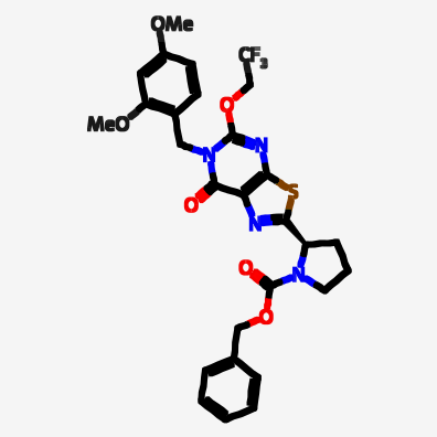 COc1ccc(Cn2c(OCC(F)(F)F)nc3sc([C@H]4CCCN4C(=O)OCc4ccccc4)nc3c2=O)c(OC)c1